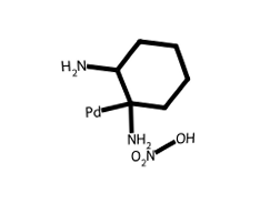 NC1CCCC[C]1(N)[Pd].O=[N+]([O-])O